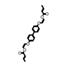 C/C=C/C(=O)O/C=C\Oc1ccc(-c2ccc(O/C=C\OC(=O)/C=C/C)cc2)cc1